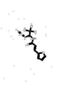 O=C(/C=C/c1cccs1)NC(N=C=S)C(Cl)(Cl)Cl